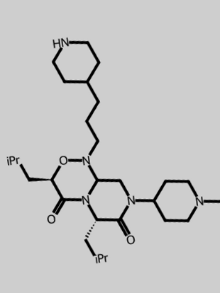 CC(C)C[C@H]1ON(CCCC2CCNCC2)C2CN(C3CCN(C)CC3)C(=O)[C@H](CC(C)C)N2C1=O